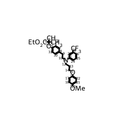 CCOC(=O)C(C)(C)Oc1ccc(CCN(CCCOc2ccc(OC)cc2)c2cccc(C(F)(F)F)c2)cc1